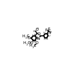 COc1cc2c(c(OC)c1OC)N=C(c1cccc(C(F)(F)F)c1)OC2C=O